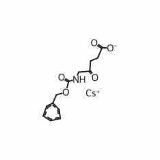 O=C([O-])CCC(=O)CNC(=O)OCc1ccccc1.[Cs+]